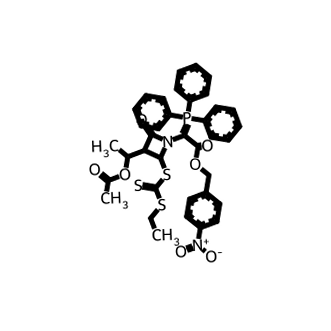 CCSC(=S)SC1C(C(C)OC(C)=O)C(=O)N1C(C(=O)OCc1ccc([N+](=O)[O-])cc1)=P(c1ccccc1)(c1ccccc1)c1ccccc1